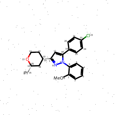 COc1ccccc1-n1nc([C@H]2CCO[C@@H](C(C)C)C2)cc1-c1ccc(Cl)cc1